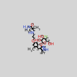 Cc1cc(OCCCNCC(C)(C)C(N)=O)ccc1Cc1c(O[C@@H]2O[C@H](CO)[C@@H]([18F])[C@H](O)[C@H]2O)n[nH]c1C(C)C